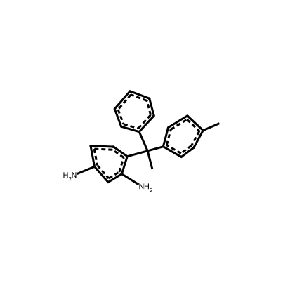 Cc1ccc(C(C)(c2ccccc2)c2ccc(N)cc2N)cc1